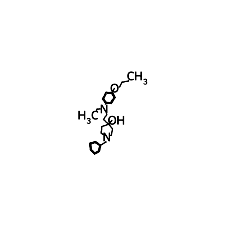 CCCCOc1ccc(N(CC)CCC2(O)CCN(Cc3ccccc3)CC2)cc1